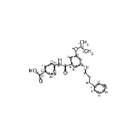 CC(C)Oc1cc(OCCCc2cccnc2)cc(C(=O)Nc2ccc(C(=O)O)cn2)c1